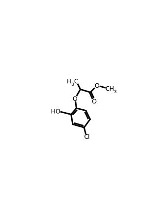 COC(=O)C(C)Oc1ccc(Cl)cc1O